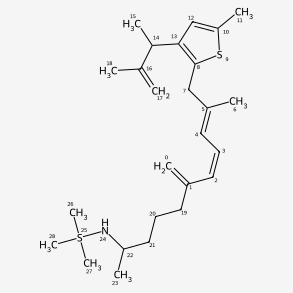 C=C(/C=C\C=C(/C)Cc1sc(C)cc1C(C)C(=C)C)CCCC(C)NS(C)(C)C